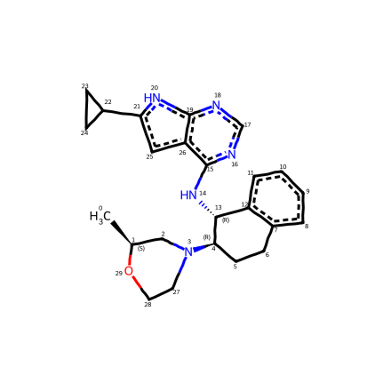 C[C@H]1CN([C@@H]2CCc3ccccc3[C@H]2Nc2ncnc3[nH]c(C4CC4)cc23)CCO1